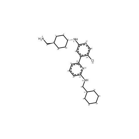 NC[C@H]1CC[C@H](Nc2cc(-c3cccc(NCC4CCCCC4)n3)c(Cl)cn2)CC1